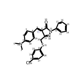 CN(C)c1ccc(/C=C2/C(=O)N(c3ccccc3)N=C2CSc2ccc(Cl)cc2)cc1